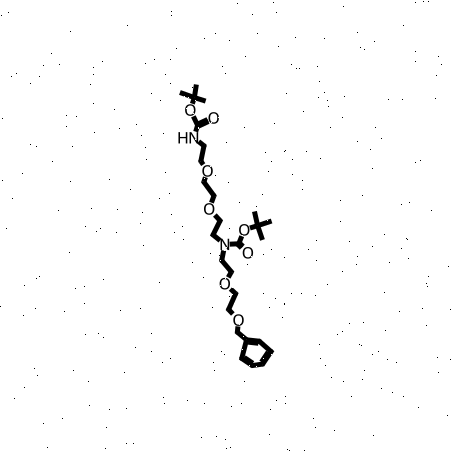 CC(C)(C)OC(=O)NCCOCCOCCN(CCOCCOCc1ccccc1)C(=O)OC(C)(C)C